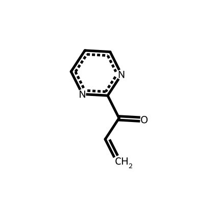 C=CC(=O)c1ncccn1